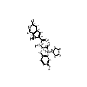 O=C(N[C@@H](Cc1ccc(F)cc1)C(=O)NC1CCCC1)c1cc2cc(Cl)ncc2[nH]1